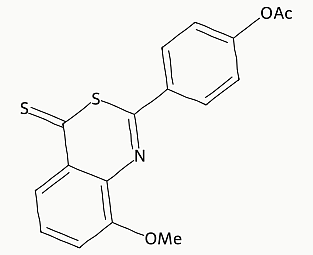 COc1cccc2c(=S)sc(-c3ccc(OC(C)=O)cc3)nc12